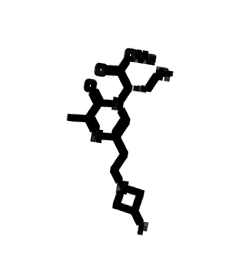 COC(=O)[C@H](CC(C)C)n1cc(CCN2CC(F)C2)nc(C)c1=O